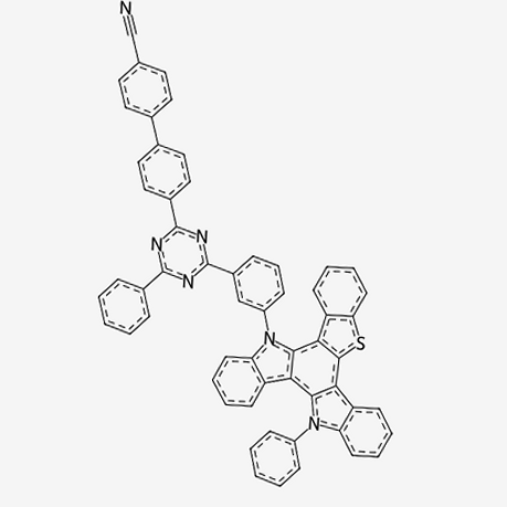 N#Cc1ccc(-c2ccc(-c3nc(-c4ccccc4)nc(-c4cccc(-n5c6ccccc6c6c7c(c8ccccc8n7-c7ccccc7)c7sc8ccccc8c7c65)c4)n3)cc2)cc1